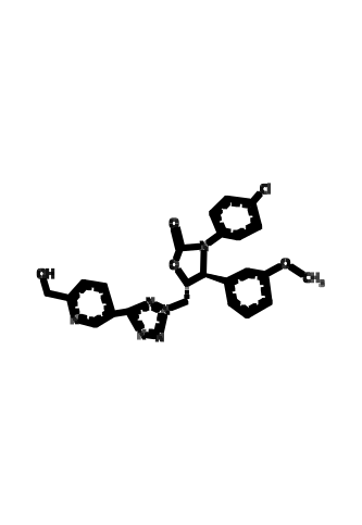 COc1cccc([C@H]2[C@H](Cn3nnc(-c4ccc(CO)nc4)n3)OC(=O)N2c2ccc(Cl)cc2)c1